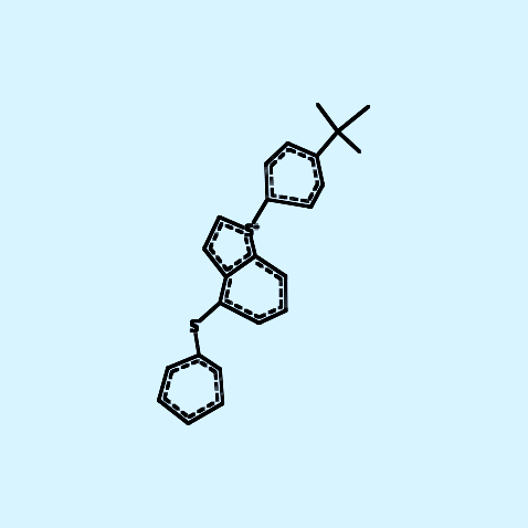 CC(C)(C)c1ccc(-[s+]2ccc3c(Sc4ccccc4)cccc32)cc1